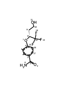 NC(=O)c1ccc(O[C@H](CCO)C(F)(F)F)cc1